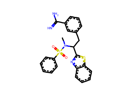 CN(C(Cc1cccc(C(=N)N)c1)c1nc2ccccc2s1)S(=O)(=O)c1ccccc1